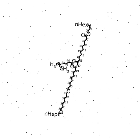 CCCCCC/C=C\COC(=O)CCCCCCCCCC(CCCCCCCCCCOCCCCCCCOCCCCCCC)OC(=O)CCCN(C)C